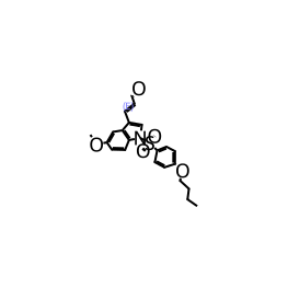 CCCCOc1ccc(S(=O)(=O)n2cc(/C=C/C=O)c3cc(OC)ccc32)cc1